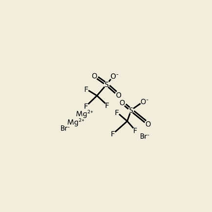 O=S(=O)([O-])C(F)(F)F.O=S(=O)([O-])C(F)(F)F.[Br-].[Br-].[Mg+2].[Mg+2]